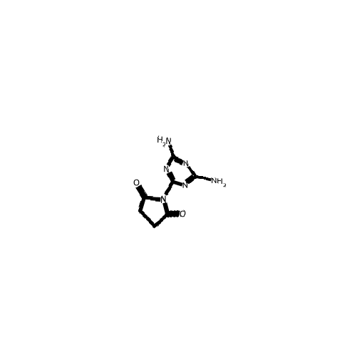 Nc1nc(N)nc(N2C(=O)CCC2=O)n1